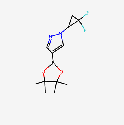 CC1(C)OB(c2cnn(C3CC3(F)F)c2)OC1(C)C